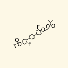 C=C(C)C(=O)O/C=C\Oc1ccc(-c2ccc(-c3ccc(OC(=O)C(=C)C)cc3F)cc2)cc1F